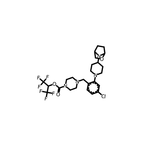 O=C(OC(C(F)(F)F)C(F)(F)F)N1CCN(Cc2ccc(Cl)cc2N2CCC(N3C4CCC3OC4)CC2)CC1